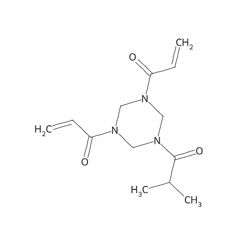 C=CC(=O)N1CN(C(=O)C=C)CN(C(=O)C(C)C)C1